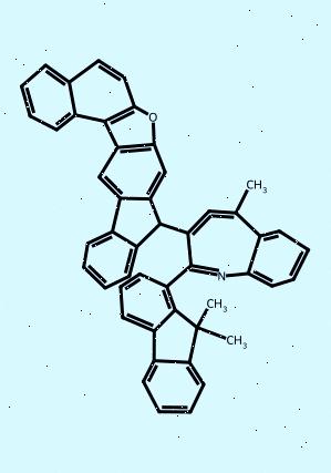 CC1=C=C(C2c3ccccc3-c3cc4c(cc32)oc2ccc3ccccc3c24)C(c2cccc3c2C(C)(C)c2ccccc2-3)=Nc2ccccc21